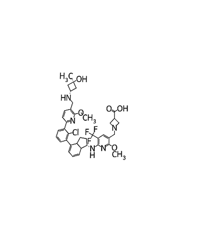 COc1nc(-c2cccc(C3=CC=CC4C3CC[C@@H]4Nc3nc(OC)c(CN4CC(C(=O)O)C4)cc3C(F)(F)F)c2Cl)ccc1CN[C@H]1C[C@](C)(O)C1